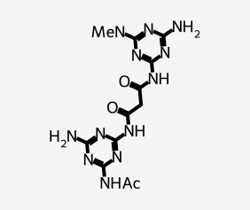 CNc1nc(N)nc(NC(=O)CC(=O)Nc2nc(N)nc(NC(C)=O)n2)n1